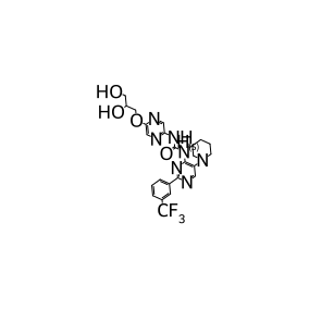 O=C(Nc1cnc(OCC(O)CO)cn1)N1c2nc(-c3cccc(C(F)(F)F)c3)ncc2N2CCC[C@H]1C2